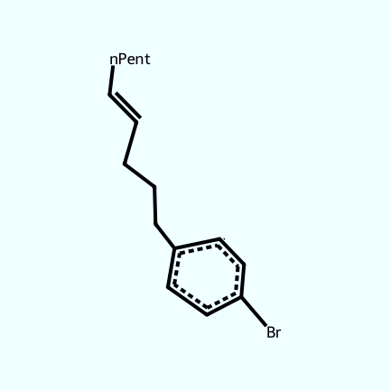 CCCCCC=CCCCc1[c]cc(Br)cc1